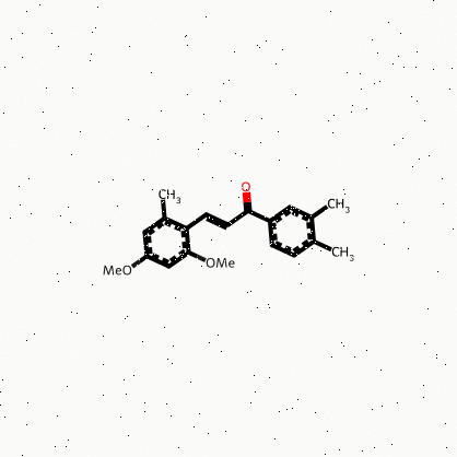 COc1cc(C)c(/C=C/C(=O)c2ccc(C)c(C)c2)c(OC)c1